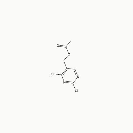 CC(=O)OCc1cnc(Cl)nc1Cl